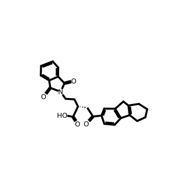 O=C(C[C@@H](CCN1C(=O)c2ccccc2C1=O)C(=O)O)c1ccc2c(c1)CC1=C2CCCC1